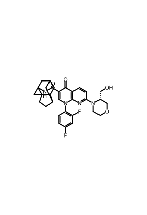 O=C(NC12CC3CC4CCC1(C2)C4C3)c1cn(-c2ccc(F)cc2F)c2nc(N3CCOC[C@H]3CO)ccc2c1=O